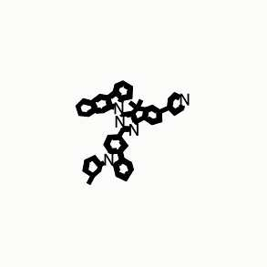 CC1C=CC=C(n2c3ccccc3c3cc(-c4nc5c(c(-n6c7ccccc7c7cc8c(cc76)=CCCC=8)n4)C(C)(C)c4cc(-c6ccncc6)ccc4-5)ccc32)C1